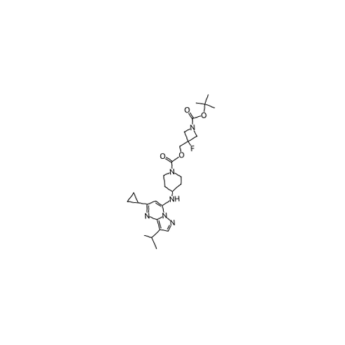 CC(C)c1cnn2c(NC3CCN(C(=O)OCC4(F)CN(C(=O)OC(C)(C)C)C4)CC3)cc(C3CC3)nc12